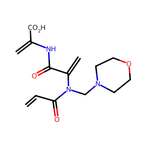 C=CC(=O)N(CN1CCOCC1)C(=C)C(=O)NC(=C)C(=O)O